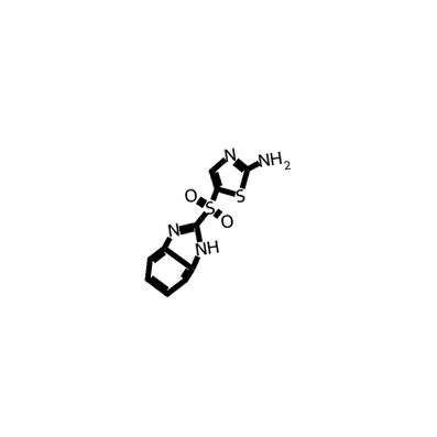 Nc1ncc(S(=O)(=O)c2nc3ccccc3[nH]2)s1